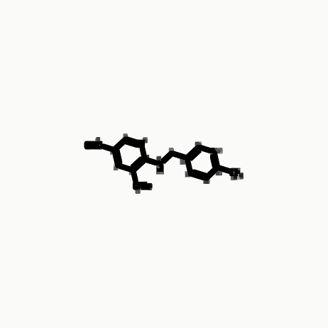 COc1cc(C=O)cnc1NCc1ccc(C(F)(F)F)nc1